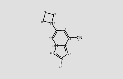 Cc1nc2c(C#N)cc(N3CCC3)cn2n1